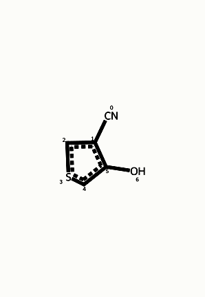 N#Cc1cscc1O